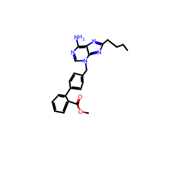 CCCCc1nc2c(N)ncn(Cc3ccc(-c4ccccc4C(=O)OC)cc3)c-2n1